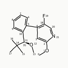 COc1cc(-c2ccccc2[C@@H](OC)C(C)(C)C)c(F)cn1